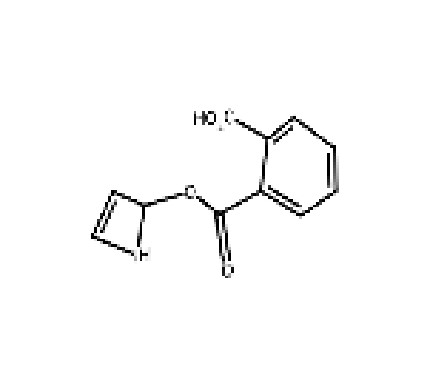 O=C(O)c1ccccc1C(=O)OC1C=C[IH]1